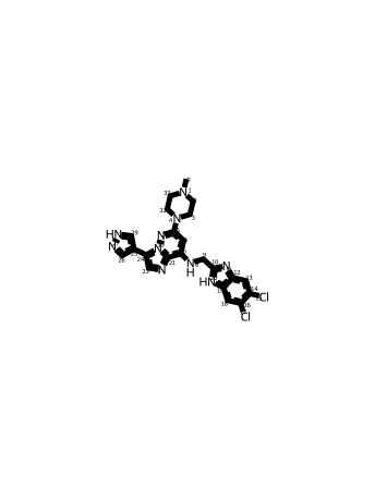 CN1CCN(c2cc(NCc3nc4cc(Cl)c(Cl)cc4[nH]3)c3ncc(-c4cn[nH]c4)n3n2)CC1